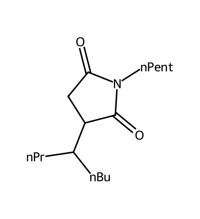 CCCCCN1C(=O)CC(C(CCC)CCCC)C1=O